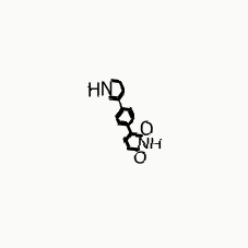 O=C1CCC(c2ccc([C@@H]3CCCNC3)cc2)C(=O)N1